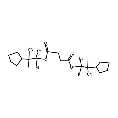 CCC(CC)(OC(=O)CCC(=O)OC(CC)(CC)C(C)(C#N)C1CCCC1)C(C)(C#N)C1CCCC1